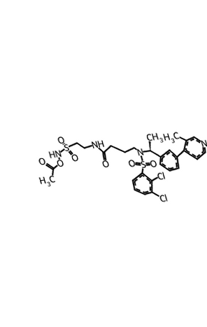 CC(=O)ONS(=O)(=O)CCNC(=O)CCCN([C@@H](C)c1cccc(-c2ccncc2C)c1)S(=O)(=O)c1cccc(Cl)c1Cl